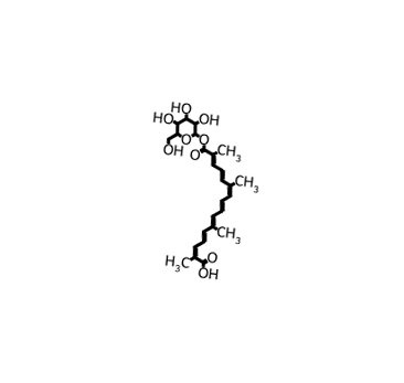 CC(=C/C=C/C=C(C)/C=C/C=C(/C)C(=O)O)/C=C/C=C(\C)C(=O)OC1OC(CO)C(O)C(O)C1O